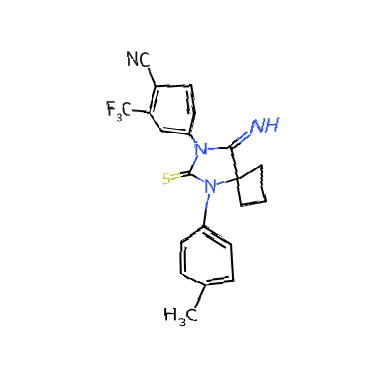 Cc1ccc(N2C(=S)N(c3ccc(C#N)c(C(F)(F)F)c3)C(=N)C23CCC3)cc1